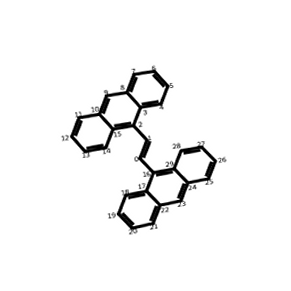 C(=Cc1c2ccccc2cc2ccccc12)c1c2ccccc2cc2ccccc12